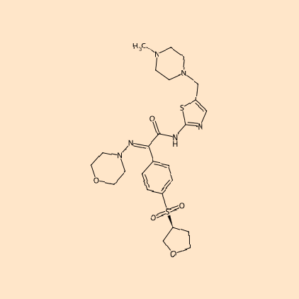 CN1CCN(Cc2cnc(NC(=O)/C(=N/N3CCOCC3)c3ccc(S(=O)(=O)[C@H]4CCOC4)cc3)s2)CC1